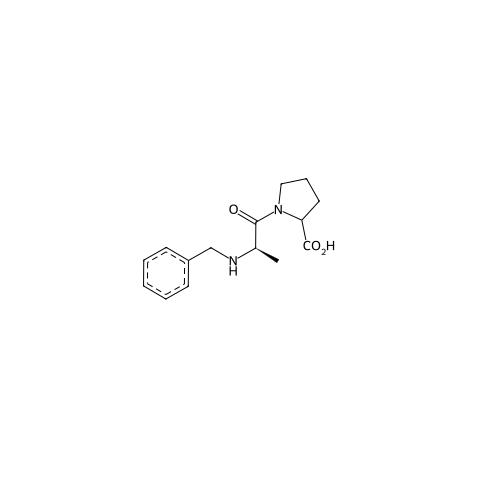 C[C@@H](NCc1ccccc1)C(=O)N1CCCC1C(=O)O